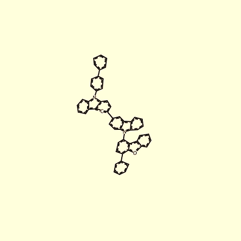 c1ccc(-c2ccc(-n3c4ccccc4c4cc(-c5ccc6c(c5)c5ccccc5n6-c5ccc(-c6ccccc6)c6oc7ccccc7c56)ccc43)cc2)cc1